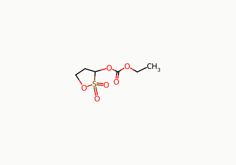 CCOC(=O)OC1CCOS1(=O)=O